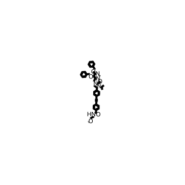 COCCNC(=O)c1ccc(C#Cc2ccc(C3CN(Cc4ncnc(OCc5ccccc5)c4OCc4ccccc4)C(=O)N3C(C)C)cc2)cc1